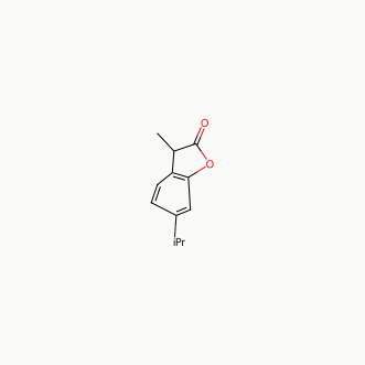 CC(C)c1ccc2c(c1)OC(=O)C2C